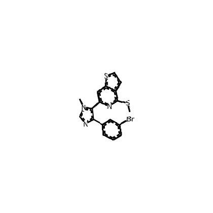 CSc1nc(-c2c(-c3cccc(Br)c3)ncn2C)cc2sccc12